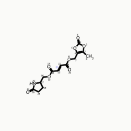 Cc1oc(=O)oc1COC(=O)/C=C/C(=O)OCC1CCC(=O)N1